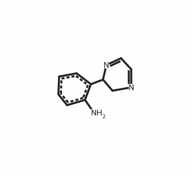 Nc1ccccc1C1CN=CC=N1